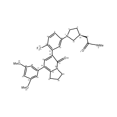 CNC(=O)C[C@@H]1CCN(c2ccc(C(F)(F)F)c(-c3cc(-c4cc(OC)cc(OC)c4)c4n(c3=O)CCC4)c2)C1